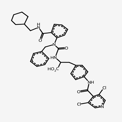 O=C(NCC1CCCCC1)c1ccccc1N(Cc1ccccc1)C(=O)NC(Cc1ccc(NC(=O)c2c(Cl)cncc2Cl)cc1)C(=O)O